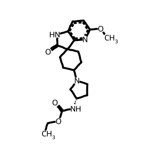 CCOC(=O)N[C@H]1CCN(C2CCC3(CC2)C(=O)Nc2ccc(OC)nc23)C1